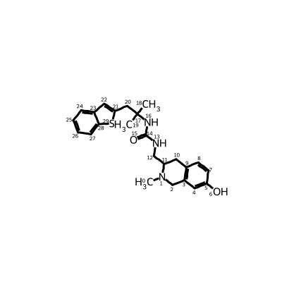 CN1Cc2cc(O)ccc2CC1CNC(=O)NC(C)(C)Cc1cc2ccccc2s1